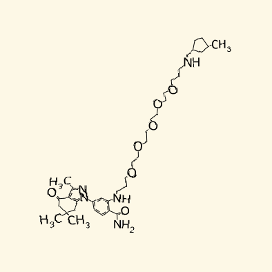 Cc1nn(-c2ccc(C(N)=O)c(NCCCOCCOCCOCCOCCOCCCNCC3CCC(C)C3)c2)c2c1C(=O)CC(C)(C)C2